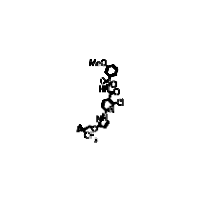 COc1cccc(S(=O)(=O)NC(=O)c2ccc(-n3ccc(OCC4(C(F)(F)F)CC4)n3)nc2Cl)c1